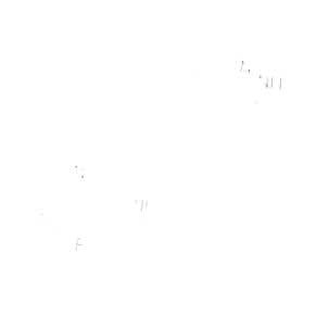 C=C(Cc1ccc(C(/C=c2/c(C3CC3)n[nH]c2=C)=C/C)cc1F)Nc1cnc(C)c(C(C)(F)F)c1